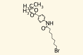 CC(C)(C)OC(=O)c1ccc(NC(=O)CCCCCCCBr)cc1